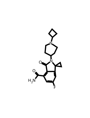 NC(=O)c1cc(F)cc2c1C(=O)N(C1CCN(C3CCC3)CC1)C21CC1